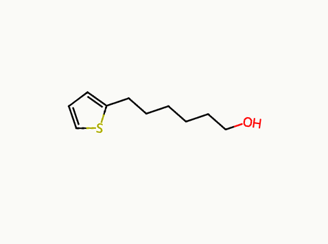 OCCCCCCc1cccs1